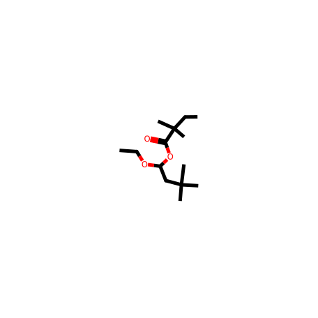 CCOC(CC(C)(C)C)OC(=O)C(C)(C)CC